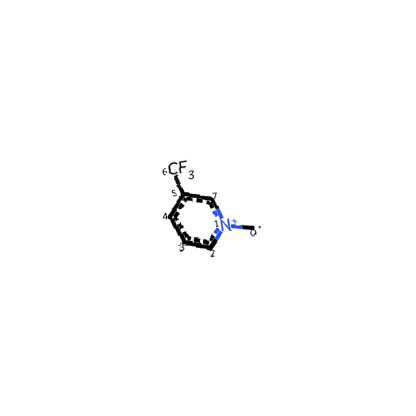 [CH2][n+]1cccc(C(F)(F)F)c1